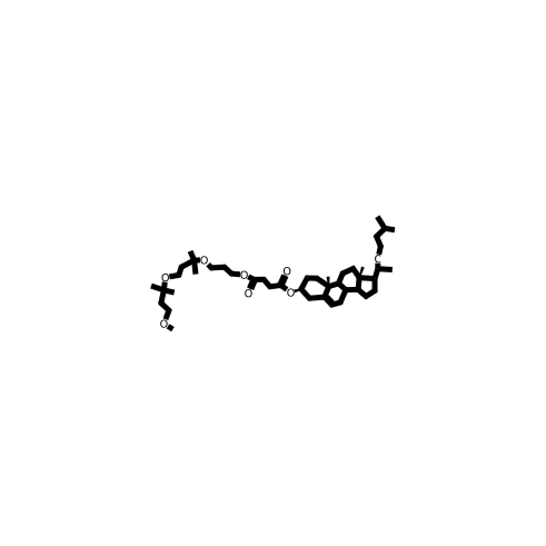 COCCC(C)(C)OCCC(C)(C)OCCCOC(=O)CCC(=O)O[C@H]1CC[C@@]2(C)C(=CCC3C4CCC(C(C)CCCC(C)C)[C@@]4(C)CCC32)C1